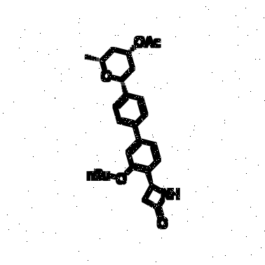 CCCCOc1cc(-c2ccc([C@H]3C[C@@H](OC(C)=O)C[C@@H](C)O3)cc2)ccc1[C@@H]1CC(=O)N1